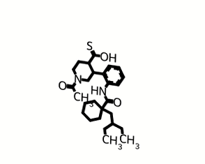 CCC(CC)CC1(C(=O)Nc2ccccc2C2CN(C(C)=O)CCC2C(O)=S)CCCCC1